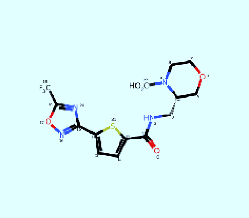 O=C(NC[C@H]1COCCN1C(=O)O)c1ccc(-c2noc(C(F)(F)F)n2)s1